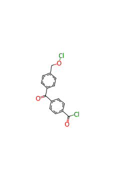 O=C(Cl)c1ccc(C(=O)c2ccc(COCl)cc2)cc1